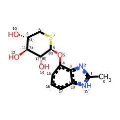 Cc1nc2c(O[C@@H]3SC[C@@H](O)[C@H](O)[C@H]3O)cccc2[nH]1